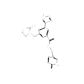 CCn1cc(-c2cc(CN3CCSC3N)cc(C(=O)NCc3ccc(=O)n(C)c3)c2)c(C(F)(F)F)n1